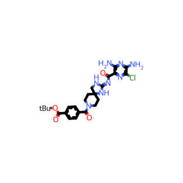 CC(C)(C)OC(=O)c1ccc(C(=O)N2CCC3(CC2)CN/C(=N\C(=O)c2nc(Cl)c(N)nc2N)N3)cc1